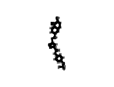 O=c1ccc2cc(OCc3cc(NCc4ccc(OC(F)F)cc4)no3)ccc2[nH]1